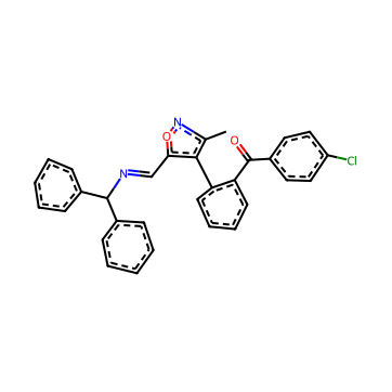 Cc1noc(C=NC(c2ccccc2)c2ccccc2)c1-c1ccccc1C(=O)c1ccc(Cl)cc1